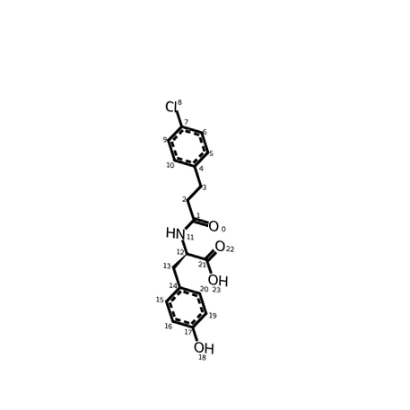 O=C(CCc1ccc(Cl)cc1)N[C@H](Cc1ccc(O)cc1)C(=O)O